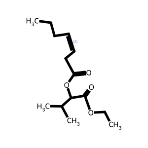 CCC/C=C\CC(=O)OC(C(=O)OCC)C(C)C